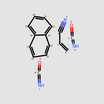 C=CC#N.N=C=O.N=C=O.c1ccc2ccccc2c1